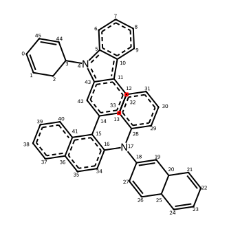 C1=CCC(n2c3ccccc3c3ccc(-c4c(N(C5=CC6C=CC=CC6C=C5)c5ccccc5)ccc5ccccc45)cc32)C=C1